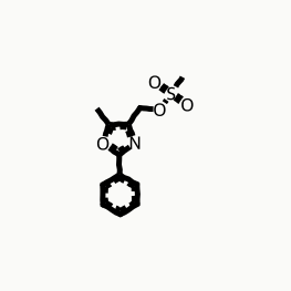 Cc1oc(-c2ccccc2)nc1COS(C)(=O)=O